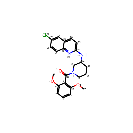 COc1cccc(OC)c1C(=O)N1CCCC(Nc2ccc3cc(Cl)ccc3n2)C1